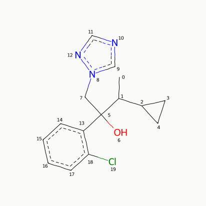 CC(C1CC1)C(O)(Cn1cncn1)c1ccccc1Cl